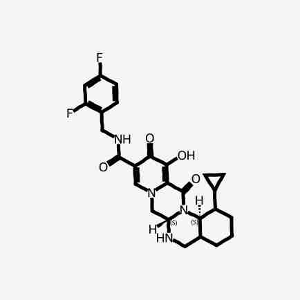 O=C(NCc1ccc(F)cc1F)c1cn2c(c(O)c1=O)C(=O)N1[C@@H]3C(CCCC3C3CC3)CN[C@@H]1C2